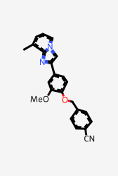 COc1cc(-c2cn3cccc(C)c3n2)ccc1OCc1ccc(C#N)cc1